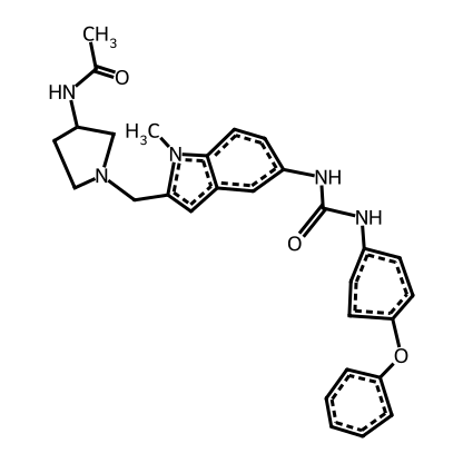 CC(=O)NC1CCN(Cc2cc3cc(NC(=O)Nc4ccc(Oc5ccccc5)cc4)ccc3n2C)C1